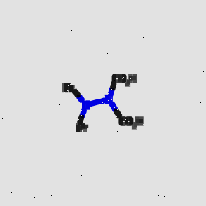 CC(C)N(C(C)C)N(C(=O)O)C(=O)O